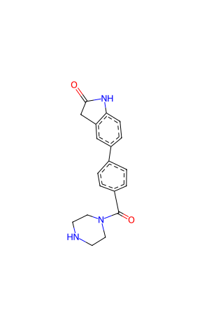 O=C1Cc2cc(-c3ccc(C(=O)N4CCNCC4)cc3)ccc2N1